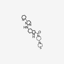 O=C(c1cc2cc(Nc3nccc(-c4ccccn4)n3)ccc2[nH]1)N1CCC(N2CCSCC2)CC1